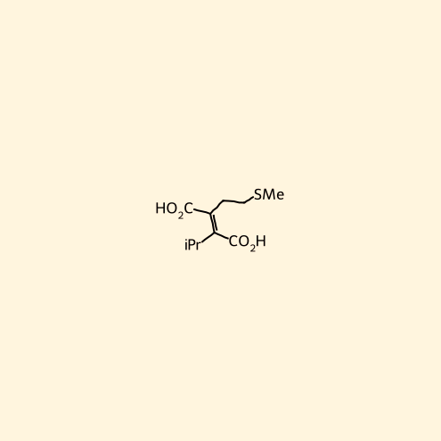 CSCC/C(C(=O)O)=C(\C(=O)O)C(C)C